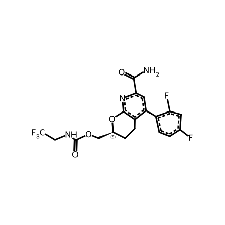 NC(=O)c1cc(-c2ccc(F)cc2F)c2c(n1)O[C@H](COC(=O)NCC(F)(F)F)CC2